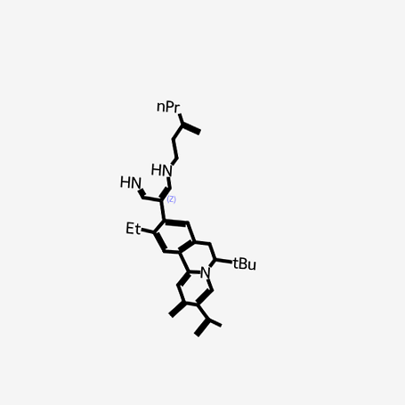 C=C(CCC)CCN/C=C(\C=N)c1cc2c(cc1CC)C1=CC(=C)C(C(=C)C)=CN1C(C(C)(C)C)C2